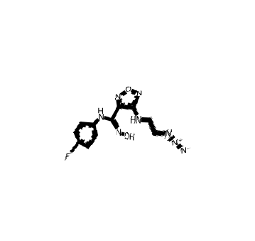 [N-]=[N+]=NCCNc1nonc1C(=NO)Nc1ccc(F)cc1